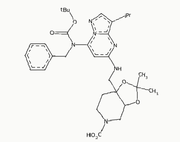 CC(C)c1cnn2c(N(Cc3ccccc3)C(=O)OC(C)(C)C)cc(NCC34CCN(C(=O)O)CC3OC(C)(C)O4)nc12